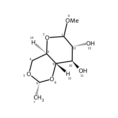 COC1O[C@@H]2CO[C@@H](C)O[C@H]2[C@H](O)[C@H]1O